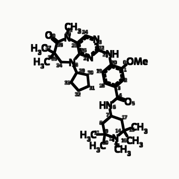 COc1cc(C(=O)NC2CC(C)(C)N(C)C(C)(C)C2)ccc1Nc1ncc2c(n1)N(C1CCCC1)CC(C)(C)C(=O)N2C